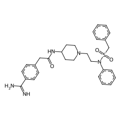 N=C(N)c1ccc(CC(=O)NC2CCN(CCN(c3ccccc3)S(=O)(=O)Cc3ccccc3)CC2)cc1